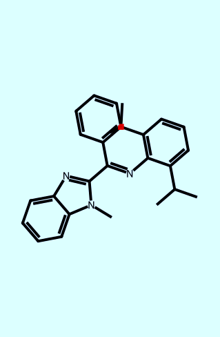 CC(C)c1cccc(C(C)C)c1/N=C(\c1ccccc1)c1nc2ccccc2n1C